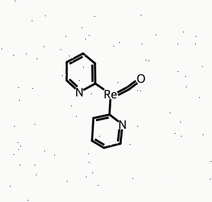 O=[C]=[Re]([c]1ccccn1)[c]1ccccn1